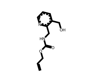 C=CCOC(=O)NCc1ncccc1CO